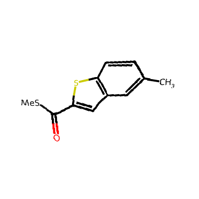 CSC(=O)c1cc2cc(C)ccc2s1